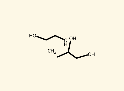 C.CC(O)CO.OCCO